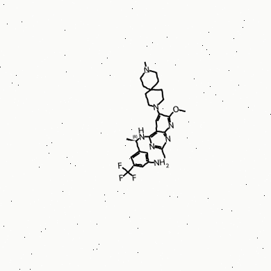 COc1nc2nc(C)nc(N[C@H](C)c3cc(N)cc(C(F)(F)F)c3)c2cc1N1CCC2(CCN(C)CC2)CC1